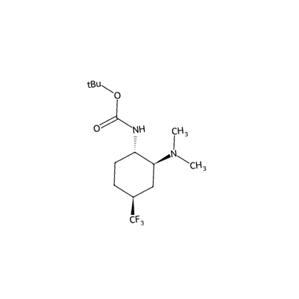 CN(C)[C@H]1C[C@@H](C(F)(F)F)CC[C@@H]1NC(=O)OC(C)(C)C